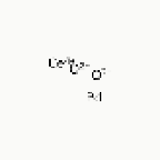 [Ce+4].[O-2].[O-2].[Pd]